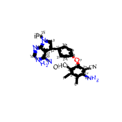 Cc1c(C)c(C=O)c(Oc2ccc(-c3cn(C(C)C)c4ncnc(N)c34)cc2)c(C#N)c1N